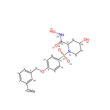 COc1cccc(COc2ccc(S(=O)(=O)N3CCC(O)CC3C(=O)NO)cc2)c1